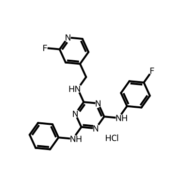 Cl.Fc1ccc(Nc2nc(NCc3ccnc(F)c3)nc(Nc3ccccc3)n2)cc1